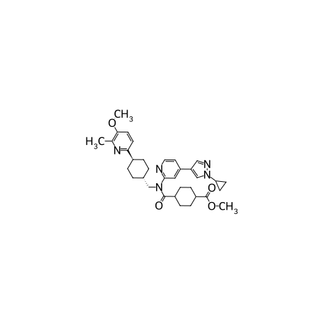 COC(=O)C1CCC(C(=O)N(C[C@H]2CC[C@H](c3ccc(OC)c(C)n3)CC2)c2cc(-c3cnn(C4CC4)c3)ccn2)CC1